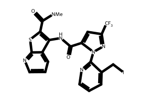 CNC(=O)c1sc2ncccc2c1NC(=O)c1cc(C(F)(F)F)nn1-c1ncccc1CI